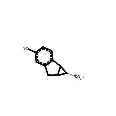 N#Cc1ccc2c(c1)CC1C2[C@@H]1C(=O)O